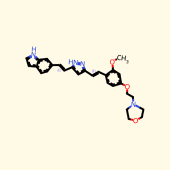 COc1cc(OCCN2CCOCC2)ccc1/C=C/c1cc(/C=C/c2ccc3cc[nH]c3c2)[nH]n1